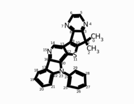 CC1(C)c2nccnc2-c2c1sc1c2cnc2c3ccccc3n(-c3ccccc3)c21